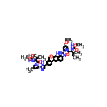 CC[C@H](C)C(NC(=O)OC)C(=O)N1C[C@@H](COC)C[C@H]1c1nc2ccc3cc4c(cc3c2[nH]1)OCc1cc(-c2cnc([C@@H]3C[C@H](C)CN3C(=O)[C@@H](NC(=O)OC)C(C)C)[nH]2)ccc1-4